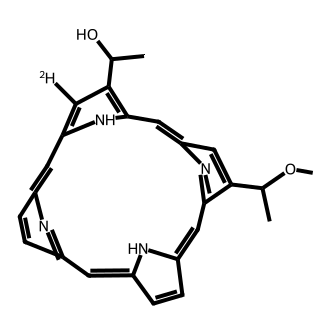 [2H]c1c(C(C)O)c2cc3nc(cc4ccc(cc5nc(cc1[nH]2)C=C5)[nH]4)C(C(C)OC)=C3